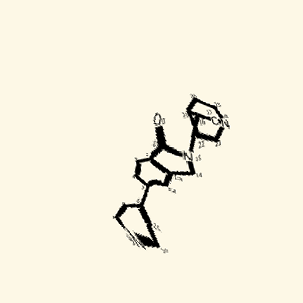 O=C1c2ccc(-c3ccncc3)cc2CN1C1CN2CCC1CC2